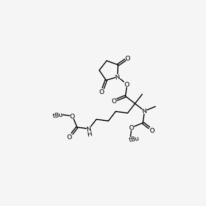 CN(C(=O)OC(C)(C)C)C(C)(CCCCNC(=O)OC(C)(C)C)C(=O)ON1C(=O)CCC1=O